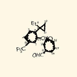 CCC1(c2ccc(C(F)(F)F)cc2C=O)CC1.O=Cc1ccccc1